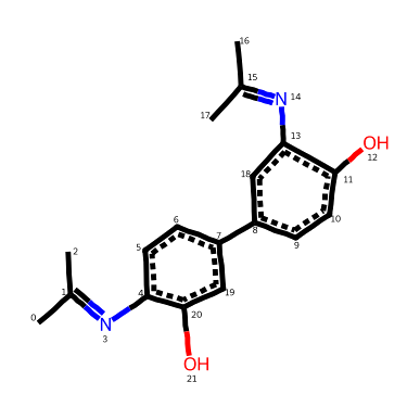 CC(C)=Nc1ccc(-c2ccc(O)c(N=C(C)C)c2)cc1O